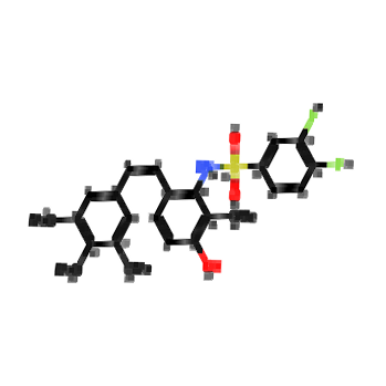 COc1cc(/C=C\c2ccc(O)c(OC)c2NS(=O)(=O)c2ccc(F)c(F)c2)cc(OC)c1OC